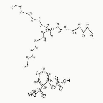 CCCCCCCC[N+](C)(CCCCCCCC)CCCCCCCC.O=C(O)c1ccccc1OS(=O)(=O)O